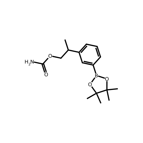 CC(COC(N)=O)c1cccc(B2OC(C)(C)C(C)(C)O2)c1